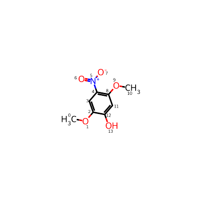 COc1cc([N+](=O)[O-])c(OC)cc1O